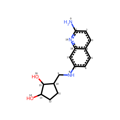 Nc1ccc2ccc(NCC3CCC(O)C3O)cc2n1